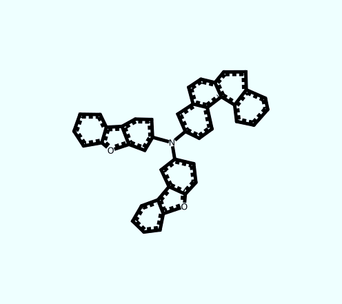 c1ccc2c(c1)ccc1ccc3cc(N(c4ccc5c(c4)oc4ccccc45)c4ccc5oc6ccccc6c5c4)ccc3c12